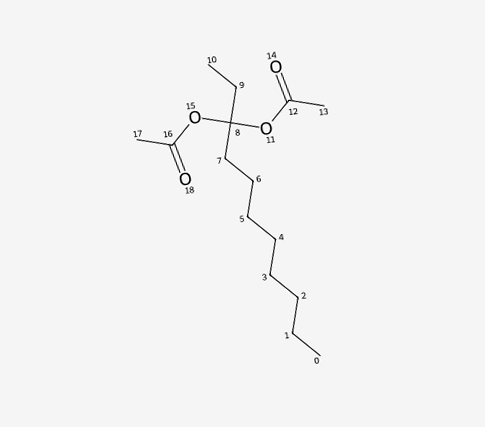 CCCCCCCCC(CC)(OC(C)=O)OC(C)=O